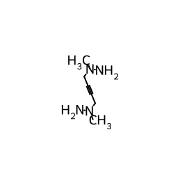 CN(N)CC#CCN(C)N